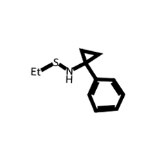 CCSNC1(c2ccccc2)CC1